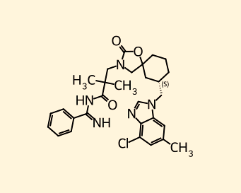 Cc1cc(Cl)c2ncn(C[C@H]3CCCC4(C3)CN(CC(C)(C)C(=O)NC(=N)c3ccccc3)C(=O)O4)c2c1